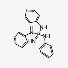 N=P(Nc1ccccc1)(Nc1ccccc1)Nc1ccccc1